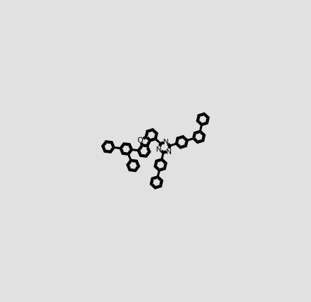 c1ccc(-c2ccc(-c3nc(-c4ccc(-c5cccc(-c6ccccc6)c5)cc4)nc(-c4cccc5oc6c(-c7ccc(-c8ccccc8)cc7-c7ccccc7)cccc6c45)n3)cc2)cc1